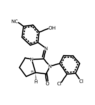 N#Cc1ccc(N=C2N(c3cccc(Cl)c3Cl)C(=O)[C@H]3CCCN23)c(O)c1